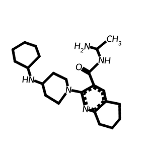 CC(N)NC(=O)c1cc2c(nc1N1CCC(NC3CCCCC3)CC1)CCCC2